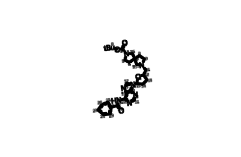 CC(C)(C)OC(=O)N1CCC2(CCN(CC3CCC(n4cnc5c(NC(=O)c6ccccc6)ncnc54)O3)C2)C1